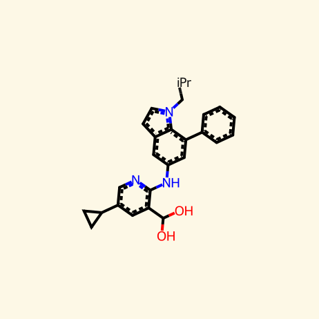 CC(C)Cn1ccc2cc(Nc3ncc(C4CC4)cc3C(O)O)cc(-c3ccccc3)c21